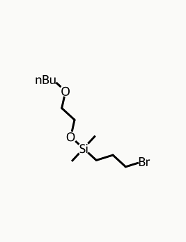 CCCCOCCO[Si](C)(C)CCCBr